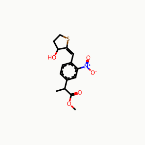 COC(=O)C(C)c1ccc(/C=C2/SCCC2O)c([N+](=O)[O-])c1